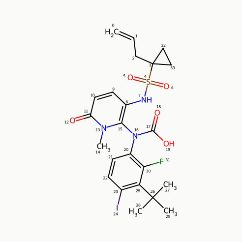 C=CCC1(S(=O)(=O)Nc2ccc(=O)n(C)c2N(C(=O)O)c2ccc(I)c(C(C)(C)C)c2F)CC1